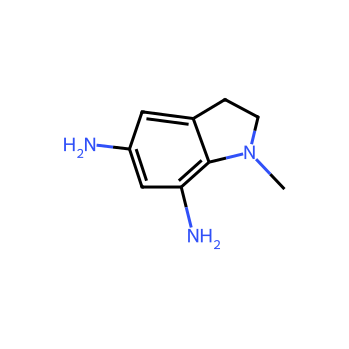 CN1CCc2cc(N)cc(N)c21